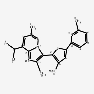 CCC(CC)c1cc(C)nn2c(-c3sc(-c4cccc(C)n4)cc3OC)c(C)nc12